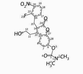 CN(C)C(=O)Oc1ccc2c(CCO)c(Cc3cccc([N+](=O)[O-])c3F)c(=O)oc2c1